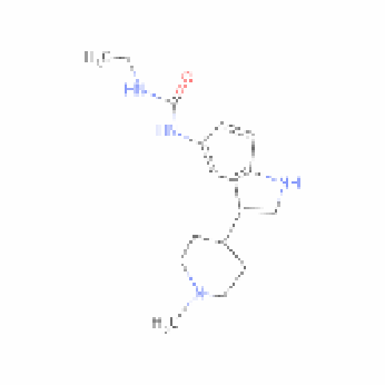 CCNC(=O)Nc1ccc2[nH]cc(C3CCN(C)CC3)c2c1